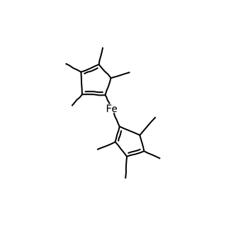 CC1=C(C)C(C)[C]([Fe][C]2=C(C)C(C)=C(C)C2C)=C1C